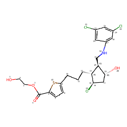 O=C(OCCO)c1ccc(CCC[C@@H]2[C@@H](CNc3cc(Cl)cc(Cl)c3)[C@H](O)C[C@H]2Cl)s1